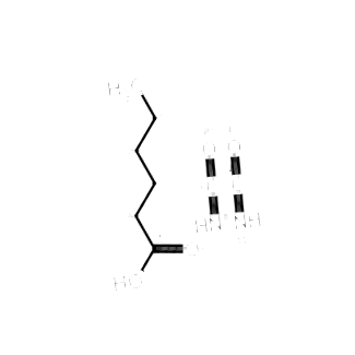 CCCCCC(=O)O.N=C=O.N=C=O